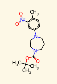 Cc1ccc(N2CCCN(C(=O)OC(C)(C)C)CC2)cc1[N+](=O)[O-]